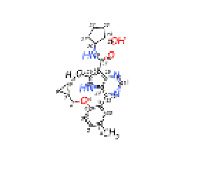 Cc1ccc(OCC2CC2)c(-c2ncnc3c(C(=O)N[C@H]4CCC[C@@H]4O)c(C)[nH]c23)c1